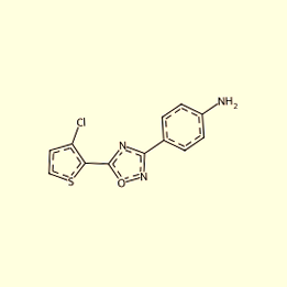 Nc1ccc(-c2noc(-c3sccc3Cl)n2)cc1